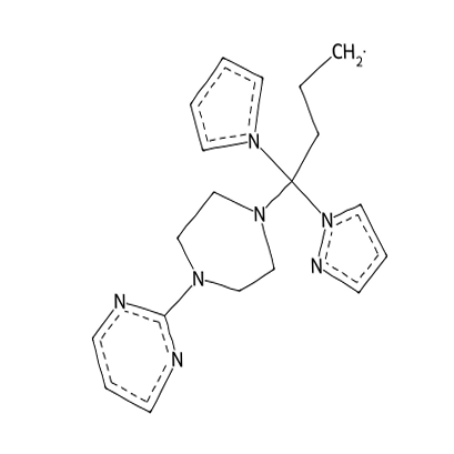 [CH2]CCC(N1CCN(c2ncccn2)CC1)(n1cccc1)n1cccn1